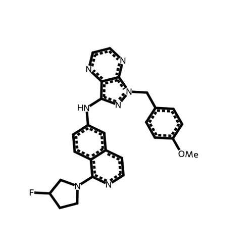 COc1ccc(Cn2nc(Nc3ccc4c(N5CCC(F)C5)nccc4c3)c3nccnc32)cc1